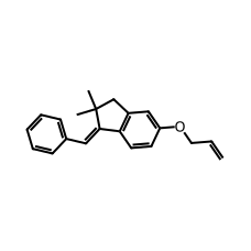 C=CCOc1ccc2c(c1)CC(C)(C)C2=Cc1ccccc1